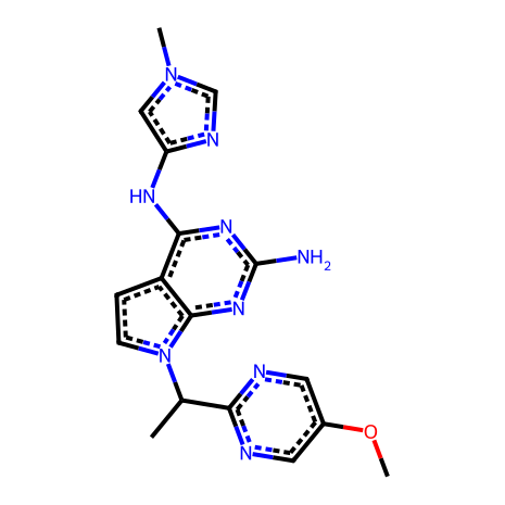 COc1cnc(C(C)n2ccc3c(Nc4cn(C)cn4)nc(N)nc32)nc1